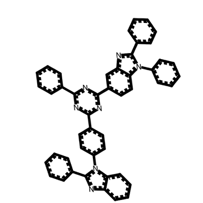 c1ccc(-c2nc(-c3ccc(-n4c(-c5ccccc5)nc5ccccc54)cc3)nc(-c3ccc4c(c3)nc(-c3ccccc3)n4-c3ccccc3)n2)cc1